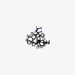 C/C=C\C(C)(C(=O)OC12CC3C[C@@H](C1)CC(OC1CCCCO1)(C3)C2)C(C)C